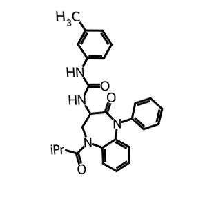 Cc1cccc(NC(=O)NC2CN(C(=O)C(C)C)c3ccccc3N(c3ccccc3)C2=O)c1